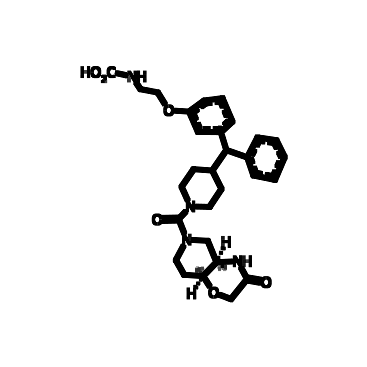 O=C(O)NCCOc1cccc(C(c2ccccc2)C2CCN(C(=O)N3CC[C@@H]4OCC(=O)N[C@@H]4C3)CC2)c1